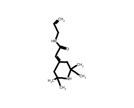 C=CCNC(=O)C=C1CC(C)(C)NC(C)(C)C1